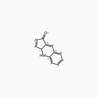 O=C1N=CC2Nc3ccccc3C=C12